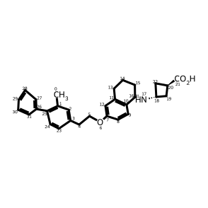 Cc1cc(CCOc2ccc3c(c2)CCC[C@H]3N[C@H]2C[C@H](C(=O)O)C2)ccc1-c1ccccc1